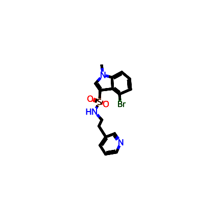 Cn1cc(S(=O)(=O)NCCc2cccnc2)c2c(Br)cccc21